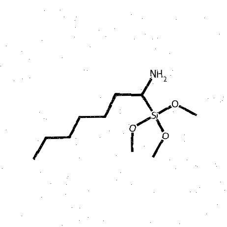 CCCCCCC(N)[Si](OC)(OC)OC